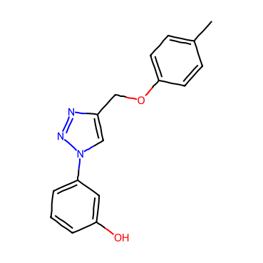 Cc1ccc(OCc2cn(-c3cccc(O)c3)nn2)cc1